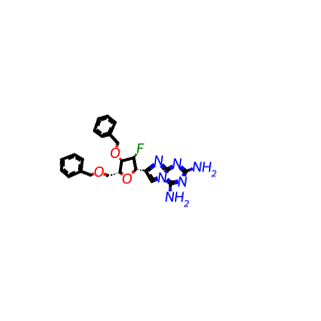 Nc1nc(N)n2cc([C@@H]3O[C@H](COCc4ccccc4)[C@@H](OCc4ccccc4)[C@H]3F)nc2n1